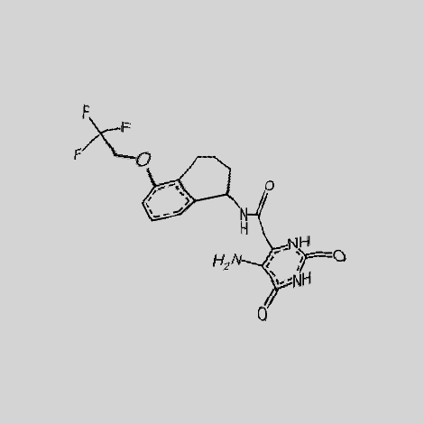 Nc1c(C(=O)NC2CCCc3c(OCC(F)(F)F)cccc32)[nH]c(=O)[nH]c1=O